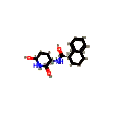 O=C1CC[C@H](NC(=O)[C@H]2CCCc3ccccc32)C(=O)N1